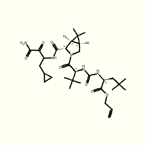 C=CCOC(=O)[C@H](CC(C)(C)C)NC(=O)N[C@H](C(=O)N1C[C@H]2[C@@H]([C@H]1C(=O)NC(CC1CC1)C(=O)C(N)=O)C2(C)C)C(C)(C)C